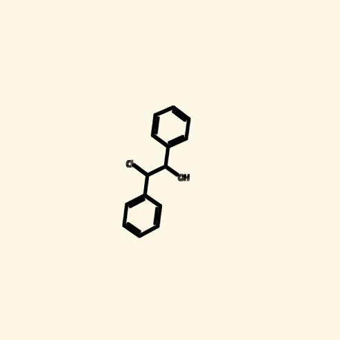 OC(c1ccccc1)C(Cl)c1ccccc1